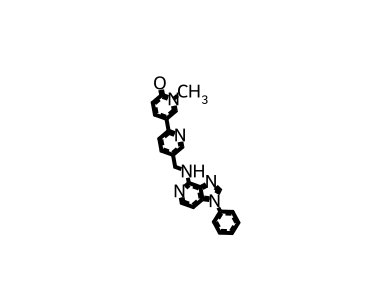 Cn1cc(-c2ccc(CNc3nccc4c3ncn4-c3ccccc3)cn2)ccc1=O